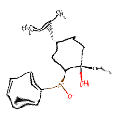 C=C(C)[C@@H]1CC[C@](C)(O)[C@@H]([S+]([O-])c2ccccc2)C1